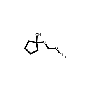 COCOC1(O)CCCC1